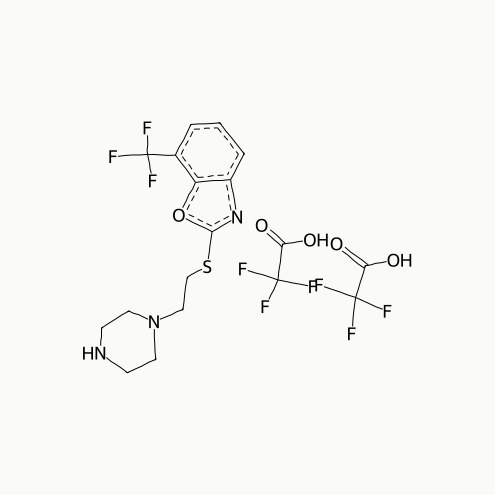 FC(F)(F)c1cccc2nc(SCCN3CCNCC3)oc12.O=C(O)C(F)(F)F.O=C(O)C(F)(F)F